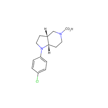 O=C(O)N1CC[C@H]2[C@H](CCN2c2ccc(Cl)cc2)C1